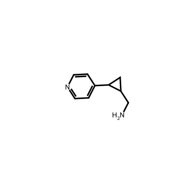 NCC1CC1c1ccncc1